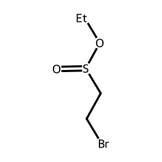 CCOS(=O)CCBr